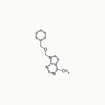 Cc1ncnc2c1ccn2COCc1ccccc1